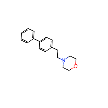 c1ccc(-c2ccc(CCN3CCOCC3)cc2)cc1